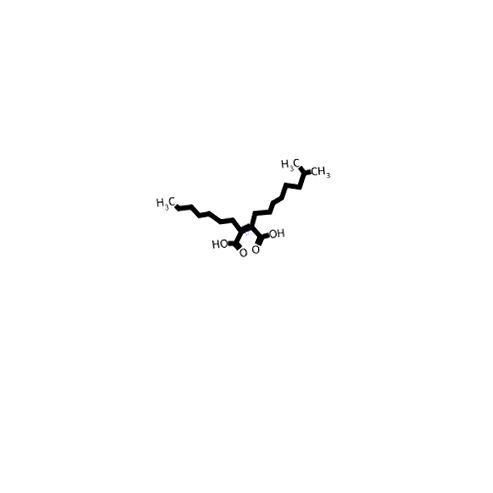 CCCCCCC/C(C(=O)O)=C(\CCCCCCC(C)C)C(=O)O